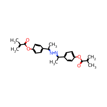 C=C(C)C(=O)Oc1ccc(/C(C)=N/N=C(\C)c2ccc(OC(=O)C(=C)C)cc2)cc1